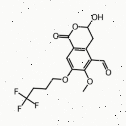 COc1c(OCCCC(F)(F)F)cc2c(c1C=O)CC(O)OC2=O